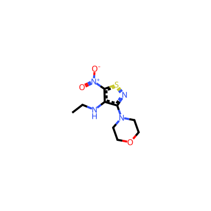 CCNc1c(N2CCOCC2)nsc1[N+](=O)[O-]